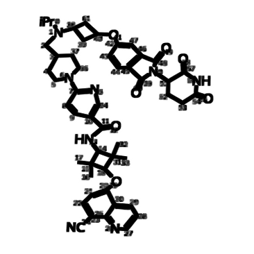 CC(C)N(CC1CCN(c2ccc(C(=O)NC3C(C)(C)C(Oc4ccc(C#N)c5ncccc45)C3(C)C)cn2)CC1)C1CC(Oc2ccc3c(c2)C(=O)N(C2CCC(=O)NC2=O)C3=O)C1